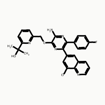 CC(C)(O)c1cccc(COc2nc(-c3cc(Cl)c4ncccc4c3)c(-c3ccc(F)cc3)nc2N)n1